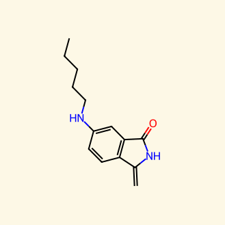 C=C1NC(=O)c2cc(NCCCCC)ccc21